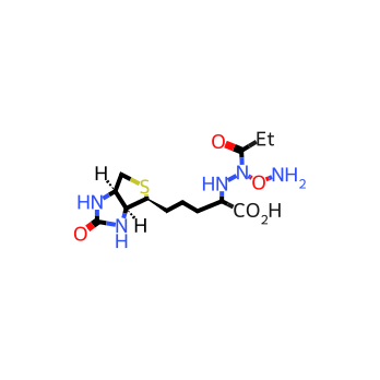 CCC(=O)N(NC(CCC[C@@H]1SC[C@@H]2NC(=O)N[C@@H]21)C(=O)O)ON